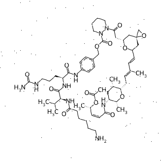 CC(=O)O[C@@H](C)/C=C\C(=O)N[C@@H]1C[C@H](C)[C@H](C/C=C(C)/C=C/C2C[C@]3(CO3)C[C@@H](CC(=O)N3CCCCN3C(=O)OCc3ccc(NC(=O)[C@H](CCCNC(N)=O)NC(=O)[C@@H](NC(=O)CCCCCN)C(C)C)cc3)O2)O[C@@H]1C